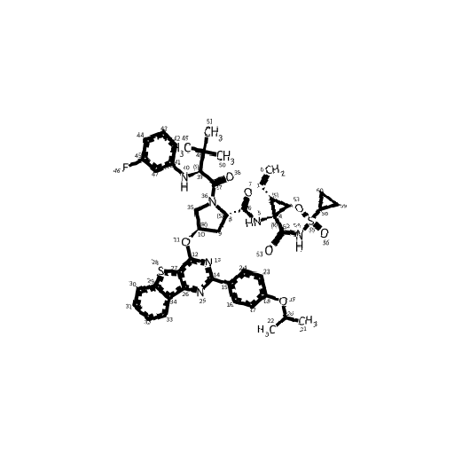 C=C[C@@H]1C[C@]1(NC(=O)[C@@H]1C[C@@H](Oc2nc(-c3ccc(OC(C)C)cc3)nc3c2sc2ccccc23)CN1C(=O)[C@@H](Nc1cccc(F)c1)C(C)(C)C)C(=O)NS(=O)(=O)C1CC1